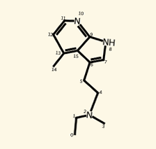 CCN(C)CCc1c[nH]c2nccc(C)c12